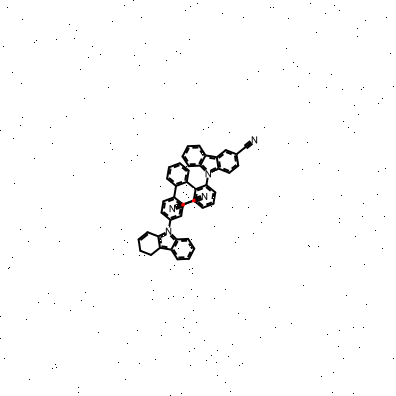 N#Cc1ccc2c(c1)c1ccccc1n2-c1cccc(C#N)c1-c1ccccc1-c1ccc(-n2c3c(c4ccccc42)CCC=C3)cc1C#N